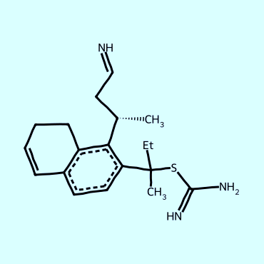 CCC(C)(SC(=N)N)c1ccc2c(c1[C@@H](C)CC=N)CCC=C2